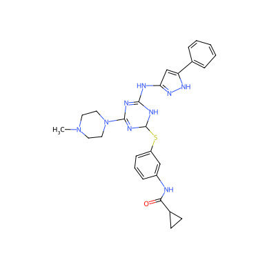 CN1CCN(C2=NC(Sc3cccc(NC(=O)C4CC4)c3)NC(Nc3cc(-c4ccccc4)[nH]n3)=N2)CC1